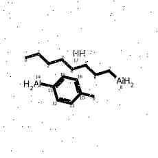 CCCCCCC[CH2][AlH2].Cc1cc[c]([AlH2])cc1.[HH]